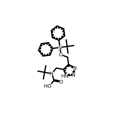 CC(C)(C)N(Cc1[nH]nnc1CO[Si](c1ccccc1)(c1ccccc1)C(C)(C)C)C(=O)O